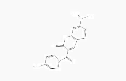 COc1ccc(C(=O)c2cc3ccc(N(C)C)cc3oc2=O)cc1